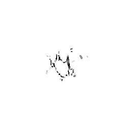 CC1(F)COC(C)(F)O1